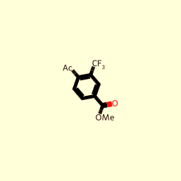 COC(=O)c1ccc(C(C)=O)c(C(F)(F)F)c1